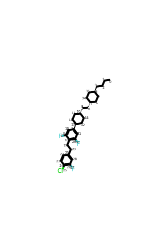 CCCC[C@H]1CC[C@H](CC[C@H]2CC[C@H](c3cc(F)c(CCc4ccc(Cl)c(F)c4)c(F)c3)CC2)CC1